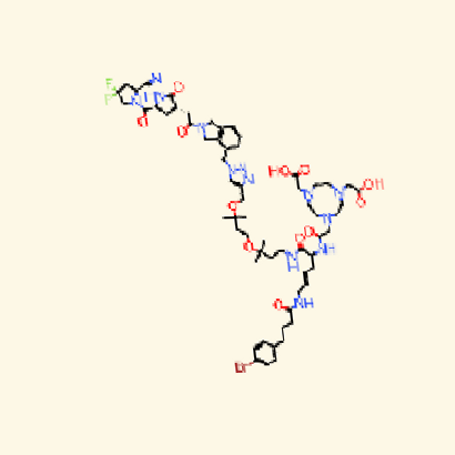 CC(C)(CCNC(=O)C(CCCCNC(=O)CCCc1ccc(Br)cc1)NC(=O)CN1CCN(CC(=O)O)CCN(CC(=O)O)CC1)OCCC(C)(C)OCc1cn(Cc2cccc3c2CN(C(=O)C[C@@H]2C[C@@H](C(=O)N4CC(F)(F)C[C@H]4C#N)NC2=O)C3)nn1